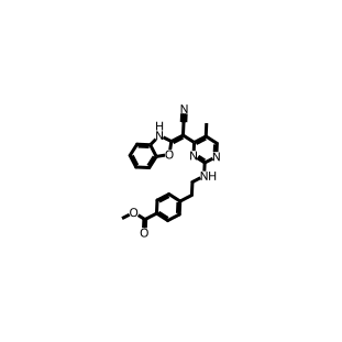 COC(=O)c1ccc(CCNc2ncc(C)c(C(C#N)=C3Nc4ccccc4O3)n2)cc1